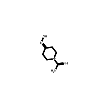 N=C(N)[N+]1CCC(=NO)CC1